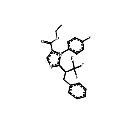 CCOC(=O)c1cnc(C(Cc2ccccc2)C(F)(F)F)n1-c1ccc(F)cc1